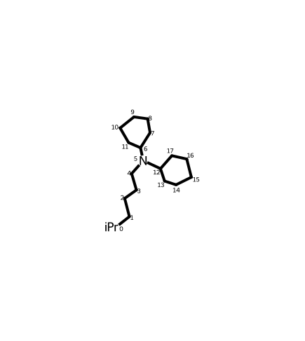 CC(C)CCCCN(C1CCCCC1)C1CCCCC1